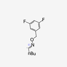 CCCC/[C]=N/OCc1cc(F)cc(F)c1